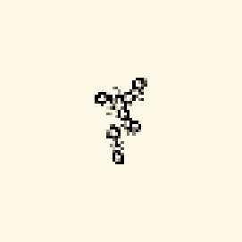 O=c1c2cc3c(cc2c2cc4c5cccnc5n(-c5cccc(-c6nc7ccccc7s6)c5)c4cc2c(=O)n1-c1ccccc1)oc1ccccc13